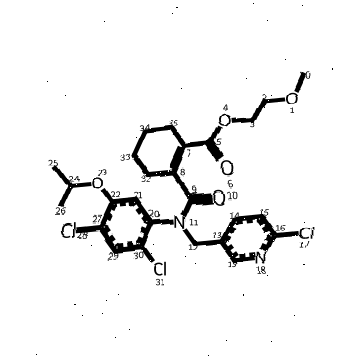 COCCOC(=O)C1=C(C(=O)N(Cc2ccc(Cl)nc2)c2cc(OC(C)C)c(Cl)cc2Cl)CCCC1